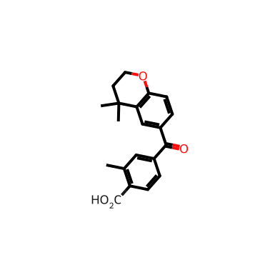 Cc1cc(C(=O)c2ccc3c(c2)C(C)(C)CCO3)ccc1C(=O)O